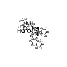 CC(C)[C@H](NC(=O)[C@H](C)NC(=O)[C@@H](Cc1ccc2ccccc2c1)NC(=O)c1ccccc1)C(C)OO